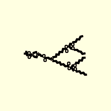 CCCCCCOCC(COCCCCCC)OC(=O)CCCCCCCN(CCCCCCCC(=O)OC(COCCCCCC)COCCCCCC)CCC(=O)OCCN1CCN(C(=O)OC(C)(C)C)CC1